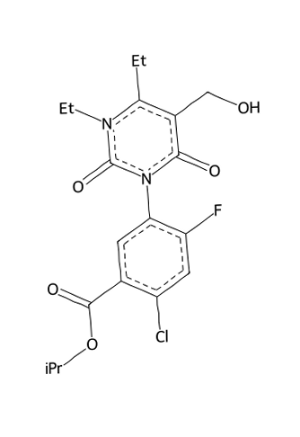 CCc1c(CO)c(=O)n(-c2cc(C(=O)OC(C)C)c(Cl)cc2F)c(=O)n1CC